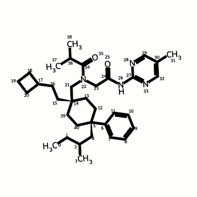 CCC(C)C[C@]1(c2ccccc2)CC[C@@](CCC2CCC2)(CN(CC(=O)Nc2ncc(C)cn2)C(=O)C(C)C)CC1